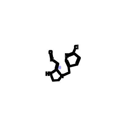 O=N/C=C1\NCCN1Cc1ccc(Cl)nc1